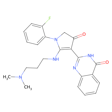 CN(C)CCCNC1=C(c2nc3ccccc3c(=O)[nH]2)C(=O)CN1c1ccccc1F